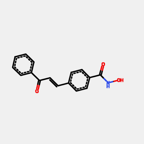 O=C(C=Cc1ccc(C(=O)NO)cc1)c1ccccc1